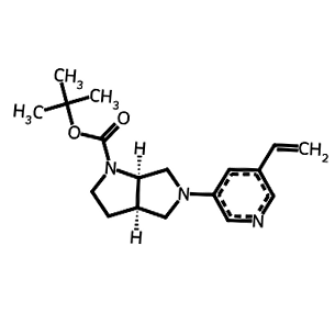 C=Cc1cncc(N2C[C@H]3CCN(C(=O)OC(C)(C)C)[C@H]3C2)c1